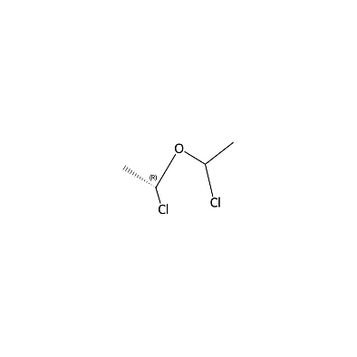 CC(Cl)O[C@@H](C)Cl